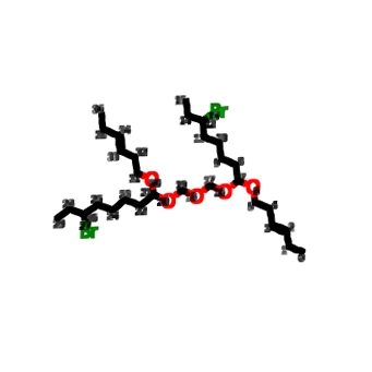 CCC=CCCOC(CCCCC(Br)CC)OCOCOC(CCCCC(Br)CC)OCCC=CCC